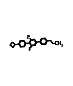 CCCc1ccc(-c2cc(F)c(-c3ccc(C4CCC4)cc3)c(F)c2)cc1